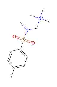 Cc1ccc(S(=O)(=O)N(C)C[N+](C)(C)C)cc1